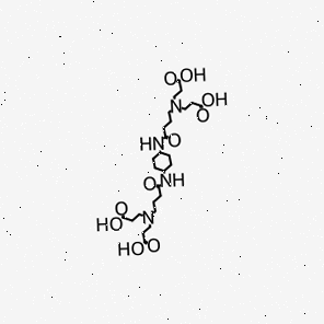 O=C(O)CCN(CCCC(=O)N[C@H]1CC[C@H](NC(=O)CCCN(CCC(=O)O)CCC(=O)O)CC1)CCC(=O)O